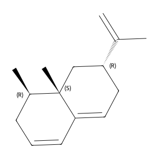 C=C(C)[C@@H]1CC=C2C=CC[C@@H](C)[C@]2(C)C1